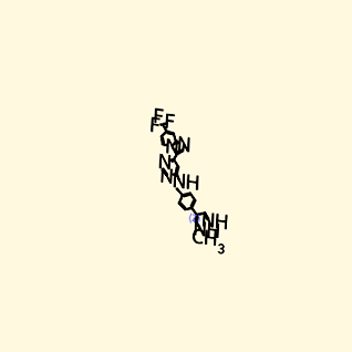 CN/C=C(\C=N)c1ccc(CNc2cc(-c3cnc4cc(C(F)(F)F)ccn34)ncn2)cc1